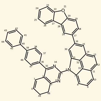 C1=Cc2c(nc(-n3c4cccc5ccc6cc(-c7ccc8oc9ccccc9c8c7)cc3c6c54)nc2-c2ccc(-c3ccccc3)cc2)CC1